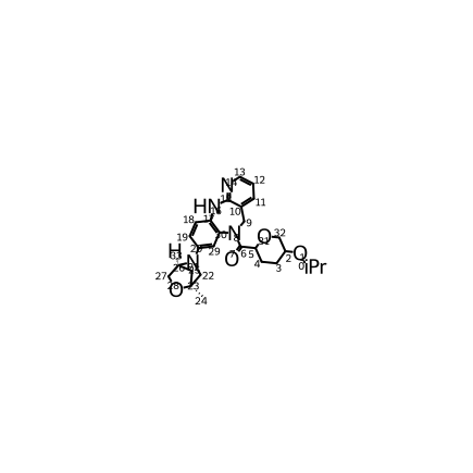 CC(C)OC1CCC(C(=O)N2Cc3cccnc3Nc3ccc(N4C[C@]5(C)C[C@H]4CO5)cc32)OC1